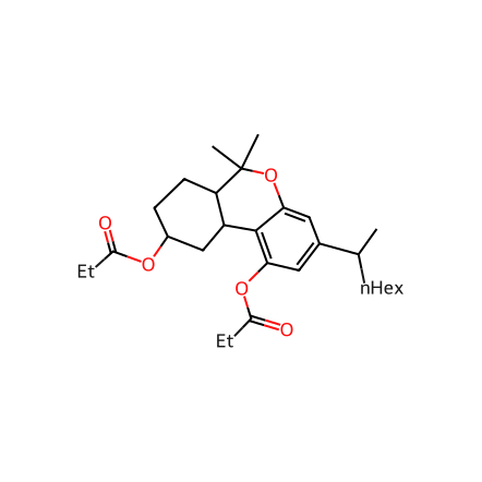 CCCCCCC(C)c1cc(OC(=O)CC)c2c(c1)OC(C)(C)C1CCC(OC(=O)CC)CC21